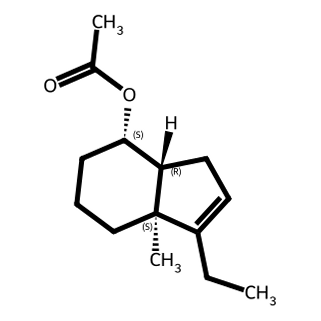 CCC1=CC[C@H]2[C@@H](OC(C)=O)CCC[C@]12C